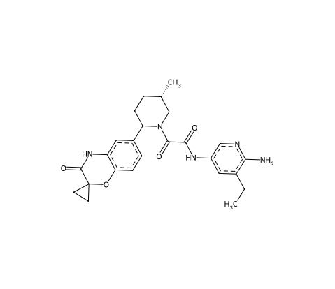 CCc1cc(NC(=O)C(=O)N2C[C@@H](C)CCC2c2ccc3c(c2)NC(=O)C2(CC2)O3)cnc1N